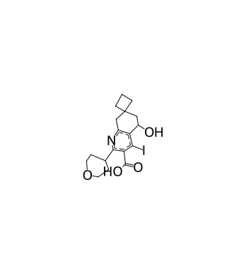 O=C(O)c1c(C2CCOCC2)nc2c(c1I)C(O)CC1(CCC1)C2